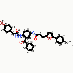 O=C(C=Cc1ccc(-c2ccc([N+](=O)[O-])cc2)o1)Nc1ccc(NC(=O)Cc2ccc(Br)cc2)c(C(=O)c2ccccc2)c1